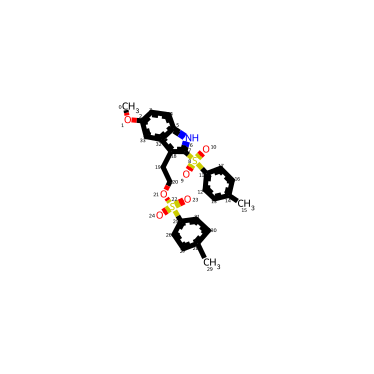 COc1ccc2[nH]c(S(=O)(=O)c3ccc(C)cc3)c(CCOS(=O)(=O)c3ccc(C)cc3)c2c1